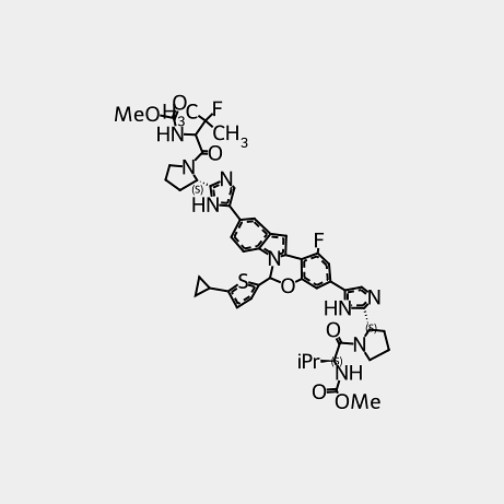 COC(=O)NC(C(=O)N1CCC[C@H]1c1ncc(-c2ccc3c(c2)cc2n3C(c3ccc(C4CC4)s3)Oc3cc(-c4cnc([C@@H]5CCCN5C(=O)[C@@H](NC(=O)OC)C(C)C)[nH]4)cc(F)c3-2)[nH]1)C(C)(C)F